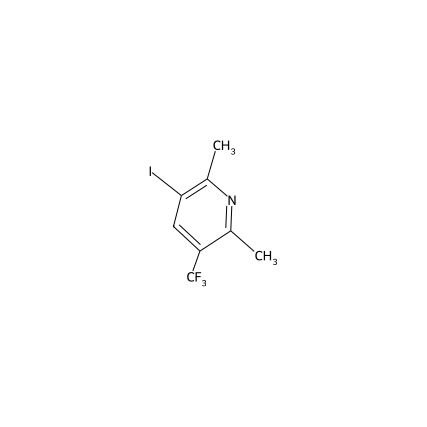 Cc1nc(C)c(C(F)(F)F)cc1I